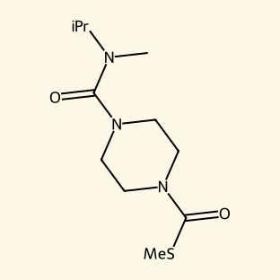 CSC(=O)N1CCN(C(=O)N(C)C(C)C)CC1